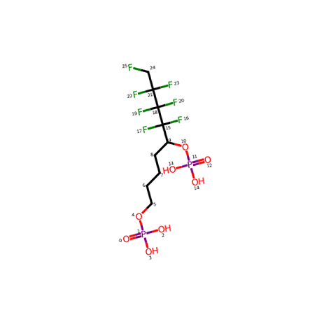 O=P(O)(O)OCCCCC(OP(=O)(O)O)C(F)(F)C(F)(F)C(F)(F)CF